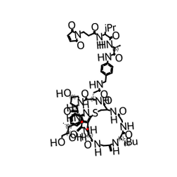 C=C1CNC(=O)[C@@H]2Cc3c([nH]c4ccccc34)SCC(NC(=O)CNC(=O)[C@H]([C@@H](C)CC)N1)C(=O)N[C@@H](CC(=O)NCc1ccc(NC(=O)[C@H](C)NC(=O)C(NC(=O)CCN3C(=O)C=CC3=O)C(C)C)cc1)C(=O)N1C[C@H](O)C[C@H]1C(=O)N[C@@H]([C@@H](C)[C@@H](O)CO)C(=O)N2